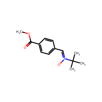 COC(=O)c1ccc(C=[N+]([O-])C(C)(C)C)cc1